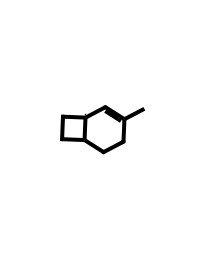 CC1=C[C]2CCC2CC1